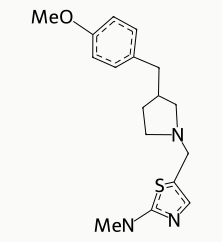 CNc1ncc(CN2CCC(Cc3ccc(OC)cc3)C2)s1